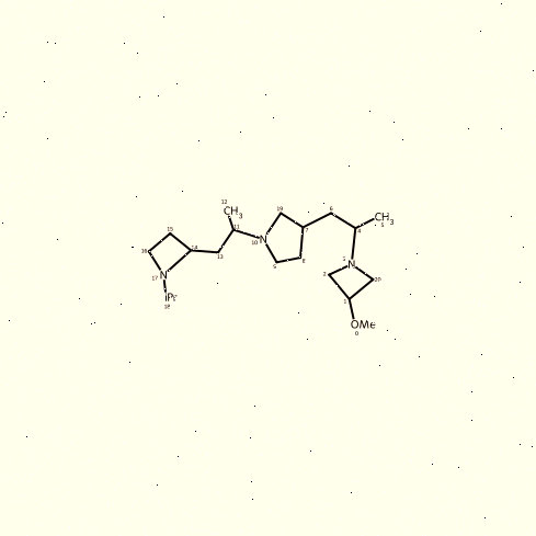 COC1CN(C(C)CC2CCN(C(C)CC3CCN3C(C)C)C2)C1